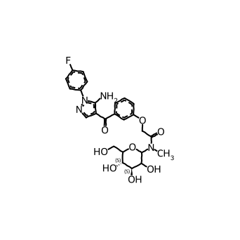 CN(C(=O)COc1cccc(C(=O)c2cnn(-c3ccc(F)cc3)c2N)c1)C1OC(CO)[C@@H](O)[C@H](O)C1O